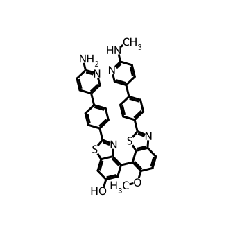 CNc1ccc(-c2ccc(-c3nc4ccc(OC)c(-c5cc(O)cc6sc(-c7ccc(-c8ccc(N)nc8)cc7)nc56)c4s3)cc2)cn1